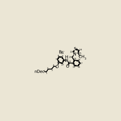 CCCCCCCCCCCCCCOc1cccc(NC(=O)c2ccccc2C[n+]2cscc2C)c1.[Br-]